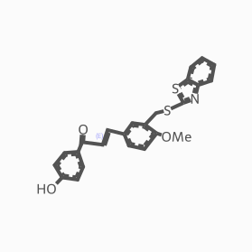 COc1ccc(/C=C/C(=O)c2ccc(O)cc2)cc1CSc1nc2ccccc2s1